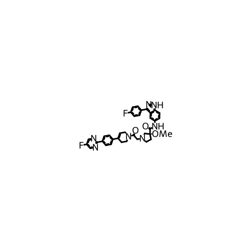 CO[C@@]1(C(=O)Nc2ccc3[nH]nc(-c4ccc(F)cc4)c3c2)CCN(CC(=O)N2CC=C(c3ccc(-c4ncc(F)cn4)cc3)CC2)C1